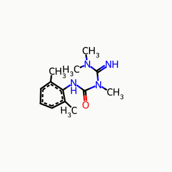 Cc1cccc(C)c1NC(=O)N(C)C(=N)N(C)C